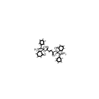 CC(OC(=O)/C=C/C(=O)OC(C)(c1ccccc1Cl)C(N)c1ccccc1)(c1ccccc1Cl)C(N)c1ccccc1